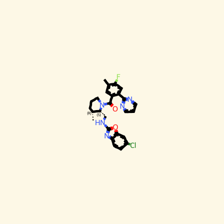 Cc1cc(C(=O)N2CCC[C@@H](C)[C@H]2CNc2nc3ccc(Cl)cc3o2)c(-c2ncccn2)cc1F